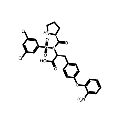 Nc1ccccc1Oc1ccc(C[C@@H](C(=O)O)N(C(=O)[C@@H]2CCCN2)S(=O)(=O)c2cc(Cl)cc(Cl)c2)cc1